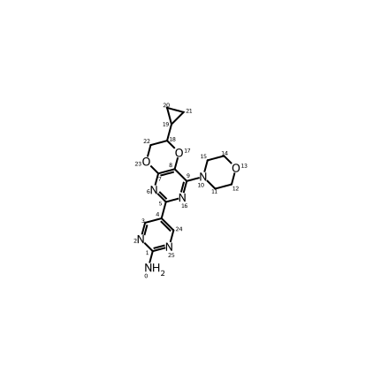 Nc1ncc(-c2nc3c(c(N4CCOCC4)n2)OC(C2CC2)CO3)cn1